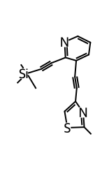 Cc1nc(C#Cc2cccnc2C#C[Si](C)(C)C)cs1